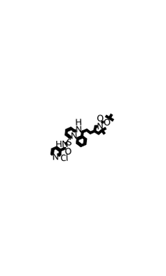 CC(C)(C)OC(=O)N1CC(CCC(Nc2cccc(SNC(=O)c3cccnc3Cl)n2)c2ccccc2)CC1(C)C